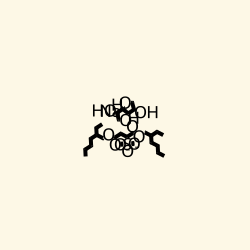 CCCCC(CC)COC(=O)CC(C(=O)OCC(CC)CCCC)S(=O)(=O)[O-].O[C@@H]1CO[C@H]2[C@@H]1OC[C@H]2O.[Na+]